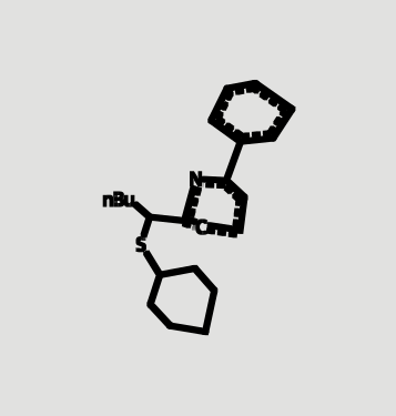 CCCCC(SC1CCCCC1)c1cccc(-c2ccccc2)n1